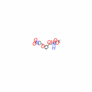 COC(=O)N1CCC(COc2cccc(C(O)CCNC(=O)OC(C)(C)C)c2)CC1